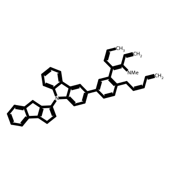 C=C/C=C\Cc1ccc(-c2ccc3c(c2)c2ccccc2n3C2=CCC3=C2Cc2ccccc23)cc1C(/C=C\C)=C(/C=C)NC